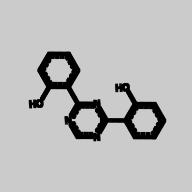 Oc1ccccc1-c1ncnc(-c2ccccc2O)n1